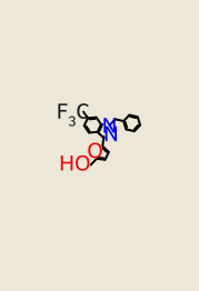 OCc1ccc(-c2nn(Cc3ccccc3)c3cc(C(F)(F)F)ccc23)o1